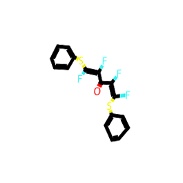 O=C(C(F)=C(F)Sc1ccccc1)C(F)=C(F)Sc1ccccc1